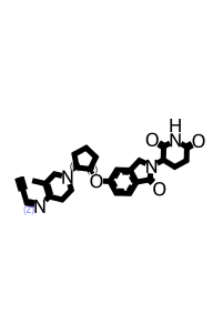 C#C/C=N\C1=C(C)CN([C@@H]2CCC[C@H]2Oc2ccc3c(c2)CN(C2CCC(=O)NC2=O)C3=O)CC1